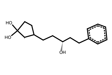 O[C@@H](CCc1ccccc1)CCC1[CH]C(O)(O)CC1